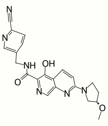 CO[C@@H]1CCN(c2ccc3c(O)c(C(=O)NCc4ccc(C#N)nc4)ncc3n2)C1